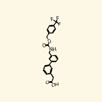 O=C(O)Cc1cccc(-c2cccc(CNC(=O)OCc3ccc(C(F)(F)F)cc3)c2)c1